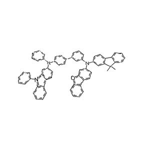 CC1(C)c2ccccc2-c2ccc(N(c3cccc(-c4ccc(N(c5ccccc5)c5ccc6c7ccccc7n(-c7ccccc7)c6c5)cc4)c3)c3ccc4c(c3)oc3ccccc34)cc21